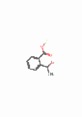 CC(Br)c1ccccc1C(=O)OF